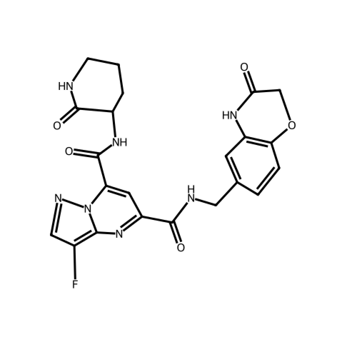 O=C1COc2ccc(CNC(=O)c3cc(C(=O)NC4CCCNC4=O)n4ncc(F)c4n3)cc2N1